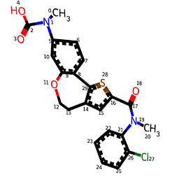 CN(C(=O)O)c1ccc2c(c1)OCCc1cc(C(=O)N(C)c3ccccc3Cl)sc1-2